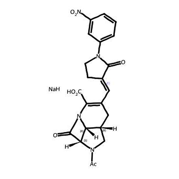 CC(=O)N1C[C@H]2CC(/C=C3\CCN(c4cccc([N+](=O)[O-])c4)C3=O)=C(C(=O)O)N3C(=O)[C@@H]1[C@@H]23.[NaH]